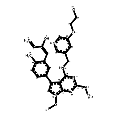 C=C/C(O)=C\c1cc(-c2cn(SI)c3nc(NC)nc(NCc4cncc(OCCCl)c4)c23)ccc1C